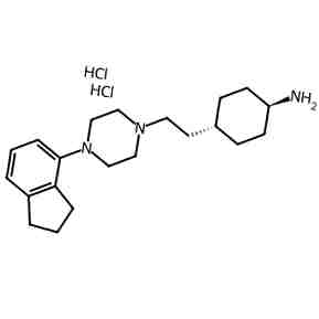 Cl.Cl.N[C@H]1CC[C@H](CCN2CCN(c3cccc4c3CCC4)CC2)CC1